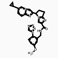 COc1ccc(-n2cnnn2)c(CNC(=O)c2cn3c(n2)CCC3c2cn3cc(C4CC4)ccc3n2)c1